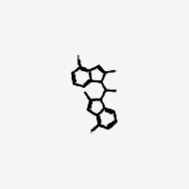 CC1=Cc2c(I)cccc2C1C(C)C1C(C)=Cc2c(I)cccc21